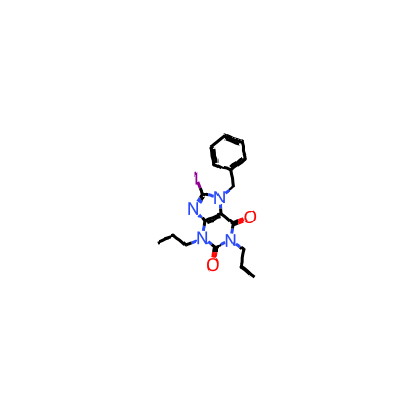 CCCn1c(=O)c2c(nc(I)n2Cc2ccccc2)n(CCC)c1=O